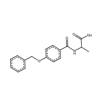 CC(NC(=O)c1ccc(OCc2ccccc2)cc1)C(=O)O